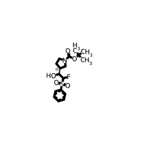 CC(C)(C)OC(=O)N1CC[C@H](C(O)C(F)S(=O)(=O)c2ccccc2)C1